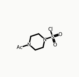 CC(=O)N1CCN(S(=O)(=O)Cl)CC1